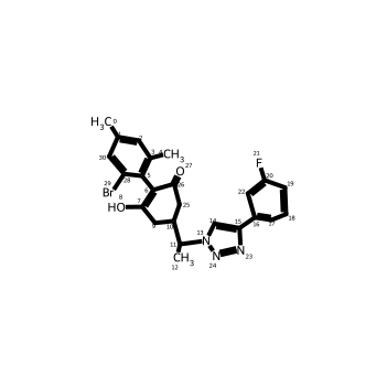 Cc1cc(C)c(C2=C(O)CC(C(C)n3cc(-c4cccc(F)c4)nn3)CC2=O)c(Br)c1